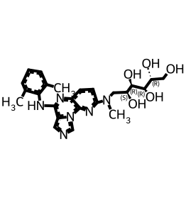 Cc1cccc(C)c1Nc1nc2ccc(N(C)C[C@H](O)[C@@H](O)[C@H](O)[C@H](O)CO)nc2n2cncc12